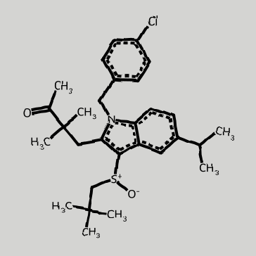 CC(=O)C(C)(C)Cc1c([S+]([O-])CC(C)(C)C)c2cc(C(C)C)ccc2n1Cc1ccc(Cl)cc1